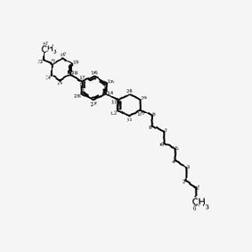 CCCCCCCCCCC1CC=C(c2ccc(C3=CCC(CC)CC3)cc2)CC1